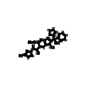 CCn1cnc(NC(=O)c2cc3c(nc2OC)nc(C(O)(c2ccccn2)c2cccs2)n3CC)n1